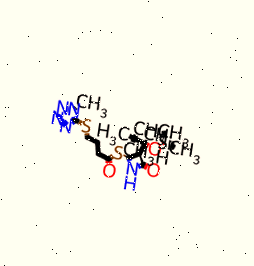 Cn1nnnc1SCCCC(=O)S[C@H]1NC(=O)[C@@H]1[C@@](C)(O[SiH](C)C)C(C)(C)C